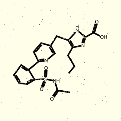 CCCc1nc(C(=O)O)[nH]c1Cc1ccc(-c2ccccc2S(=O)(=O)NC(C)=O)nc1